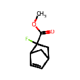 COC(=O)C1(F)CC2C=CC1C2